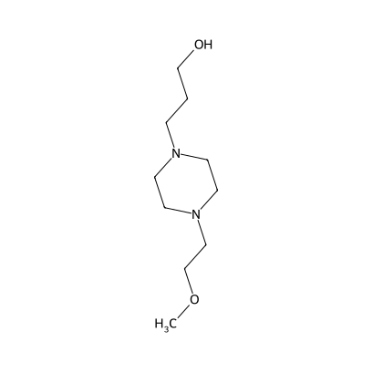 COCCN1CCN(CCCO)CC1